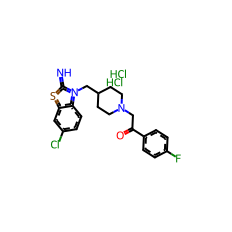 Cl.Cl.N=c1sc2cc(Cl)ccc2n1CC1CCN(CC(=O)c2ccc(F)cc2)CC1